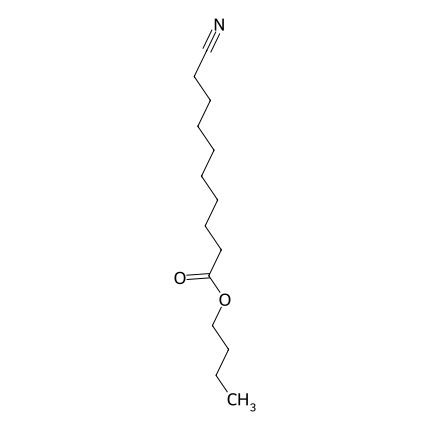 CCCCOC(=O)CCCCCCCCC#N